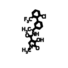 C[C@@H](NC(=O)C1=C(O)C(=O)N(C)C1)c1cccc(-c2c(Cl)cccc2C(F)(F)F)c1